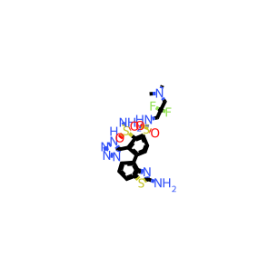 CN(C)CC(F)(F)CNS(=O)(=O)c1ccc(-c2cccc3sc(N)nc23)c(-c2nnn[nH]2)c1S(N)(=O)=O